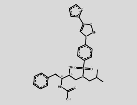 CC(C)CN(C[C@H](O)[C@H](Cc1ccccc1)NC(=O)O)S(=O)(=O)c1ccc(N2C=C(c3ccco3)ON2)cc1